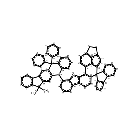 CC1(C)c2ccccc2-c2cc3c(cc21)N(c1cccc2c1oc1c4c(ccc12)C1(c2ccccc2-c2ccccc21)c1ccc2c5c(ccc-4c15)CC2)c1ccccc1C3(c1ccccc1)c1ccccc1